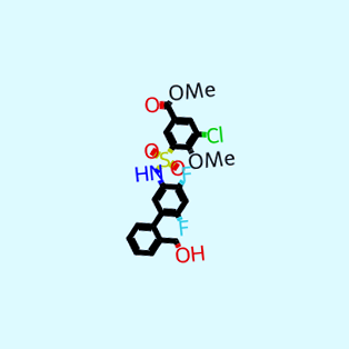 COC(=O)c1cc(Cl)c(OC)c(S(=O)(=O)Nc2cc(-c3ccccc3CO)c(F)cc2F)c1